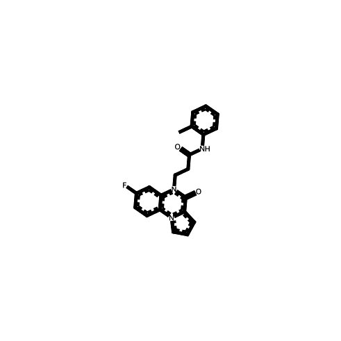 Cc1ccccc1NC(=O)CCn1c(=O)c2cccn2c2ccc(F)cc21